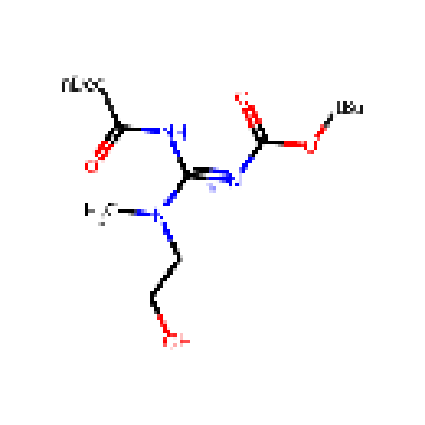 CCCCCCCCCCC(=O)N/C(=N\C(=O)OC(C)(C)C)N(C)CCO